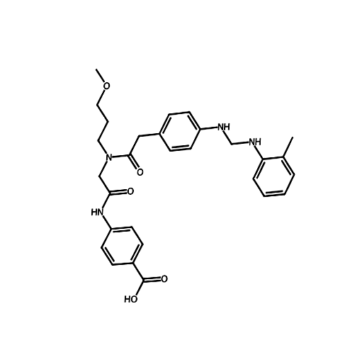 COCCCN(CC(=O)Nc1ccc(C(=O)O)cc1)C(=O)Cc1ccc(NCNc2ccccc2C)cc1